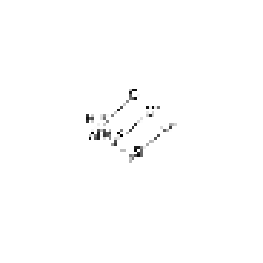 [Al+3].[O-][SiH3].[O-][SiH3].[O-][SiH3]